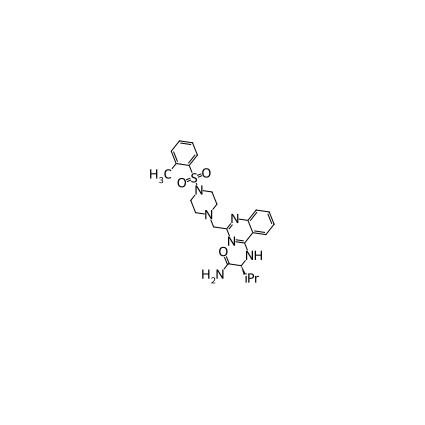 Cc1ccccc1S(=O)(=O)N1CCN(Cc2nc(N[C@H](C(N)=O)C(C)C)c3ccccc3n2)CC1